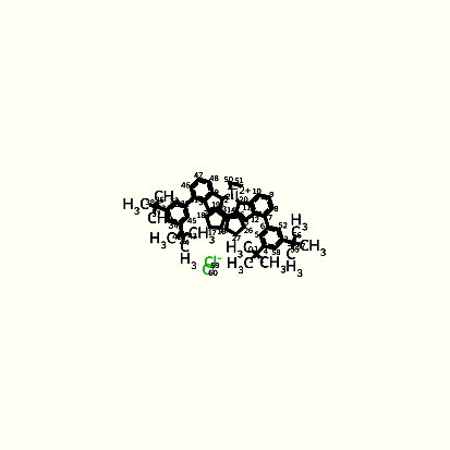 CC(C)(C)c1cc(-c2cccc3c2C=C(C2CCCC2)[CH]3[Ti+2]2([CH]3C(C4CCCC4)=Cc4c(-c5cc(C(C)(C)C)cc(C(C)(C)C)c5)cccc43)[CH2][CH2]2)cc(C(C)(C)C)c1.[Cl-].[Cl-]